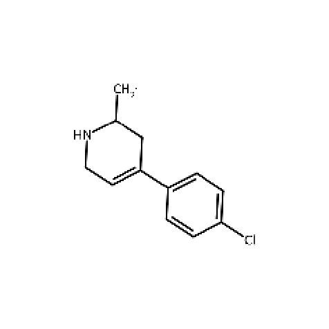 [CH2]C1CC(c2ccc(Cl)cc2)=CCN1